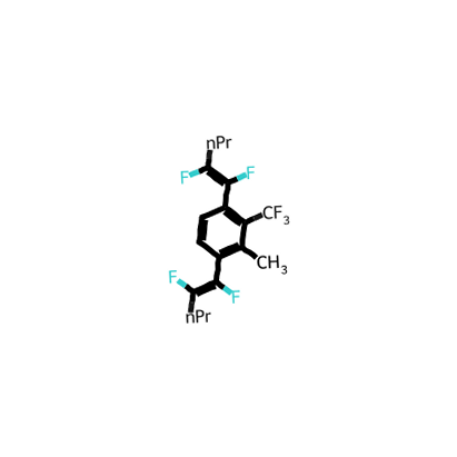 CCC/C(F)=C(\F)c1ccc(/C(F)=C(\F)CCC)c(C(F)(F)F)c1C